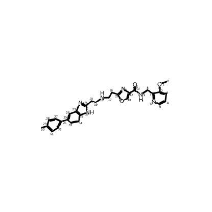 COc1cccnc1CNC(=O)c1coc(CCNCCc2nc3cc(-c4ccc(C)cc4)ccc3[nH]2)n1